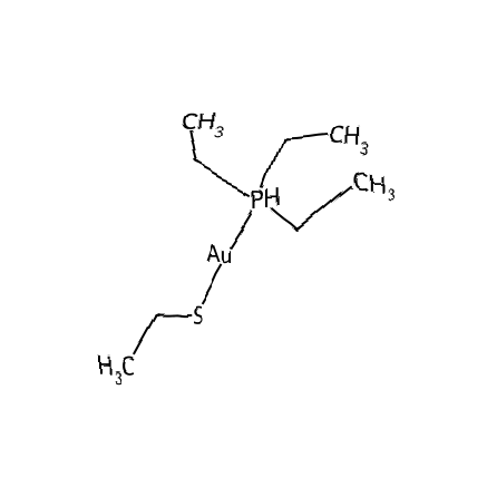 CC[S][Au][PH](CC)(CC)CC